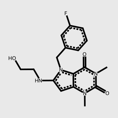 Cn1c(=O)c2c(cc(NCCO)n2Cc2cccc(F)c2)n(C)c1=O